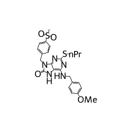 CCCSc1nc(NCc2ccc(OC)cc2)c2[nH]c(=O)n(Cc3ccc(S(C)(=O)=O)cc3)c2n1